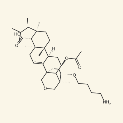 CC(=O)O[C@@H]1C[C@@]23COC[C@@](C)(C2CC[C@H]2C3=CC[C@@]3(C)[C@H](C(=O)O)[C@@](C)([C@H](C)C(C)C)CC[C@]23C)[C@H]1OCCCCN